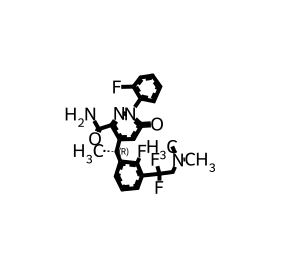 C[C@H](c1cc(=O)n(-c2ccccc2F)nc1C(N)=O)c1cccc(C(F)(F)CN(C)C)c1F